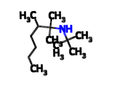 CCCCC(C)C(C)(C)NC(C)(C)C